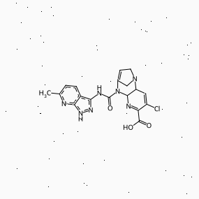 Cc1ccc2c(NC(=O)N3C4=CCN(C4)C4C=C(Cl)C(C(=O)O)=NC43)n[nH]c2n1